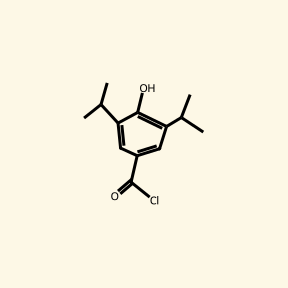 CC(C)c1cc(C(=O)Cl)cc(C(C)C)c1O